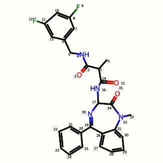 CC(C(=O)NCc1cc(F)cc(F)c1)C(=O)NC1N=C(c2ccccc2)c2ccccc2N(C)C1=O